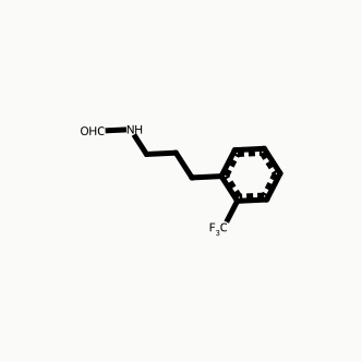 O=CNCCCc1ccccc1C(F)(F)F